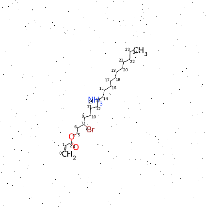 C=CC(=O)OCCC(Br)CCCCCCCCCCCCCCCC.N